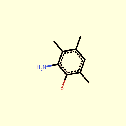 Cc1cc(C)c(Br)c(N)c1C